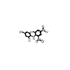 Cc1cc([N+](=O)[O-])cc([N+](=O)[O-])c1Nc1c(Cl)cc(Cl)cc1Cl